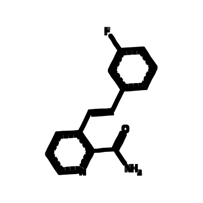 NC(=O)c1ncccc1C=Cc1cccc(F)c1